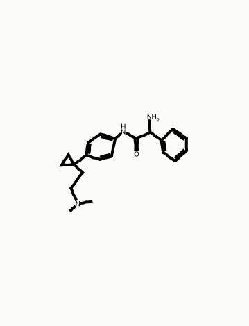 CN(C)CCC1(c2ccc(NC(=O)C(N)c3ccccc3)cc2)CC1